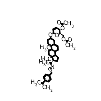 CC(=O)OC[C@H]1OC(OC2CC[C@@]3(C)C(=CCC4C3CC[C@@]3(C)C4CC[C@@H]3/C(C)=N/OCc3ccc(C(C)C)cc3)C2)C=C[C@@H]1OC(C)=O